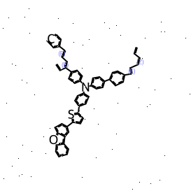 C=C/C=C\C=C\c1ccc(-c2ccc(N(c3ccc(/C(C=C)=C/C=C/c4ccccc4)cc3)c3ccc(-c4ccc(-c5ccc6oc7ccccc7c6c5)s4)cc3)cc2)cc1